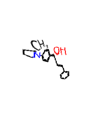 CC1CCCN1c1ccc(C(O)CCc2ccccc2)cc1